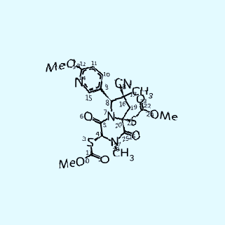 COC(=O)S[C@H]1C(=O)N2[C@@H](c3ccc(OC)nc3)[C@@](C)(C#N)C[C@]2(SC(=O)OC)C(=O)N1C